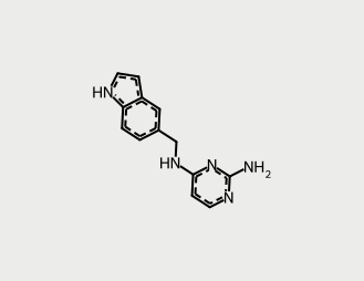 Nc1nccc(NCc2ccc3[nH]ccc3c2)n1